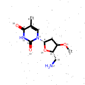 CCOC1C[C@@H](n2cc(CC)c(=O)[nH]c2=O)O[C@H]1CN